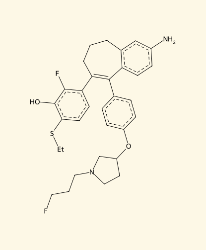 CCSc1ccc(C2=C(c3ccc(OC4CCN(CCCF)C4)cc3)c3ccc(N)cc3CCC2)c(F)c1O